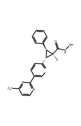 C=C(/C=C\C(=C/C)c1nccc(C(F)(F)F)n1)[C@@H]1[C@@H](c2ccccc2)[C@@]1(F)C(=O)NO